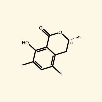 C[C@@H]1Cc2c(I)cc(I)c(O)c2C(=O)O1